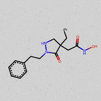 CC(C)CC1(CC(=O)NO)CNN(CCc2ccccc2)C1=O